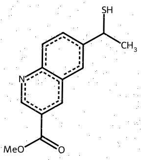 COC(=O)c1cnc2ccc(C(C)S)cc2c1